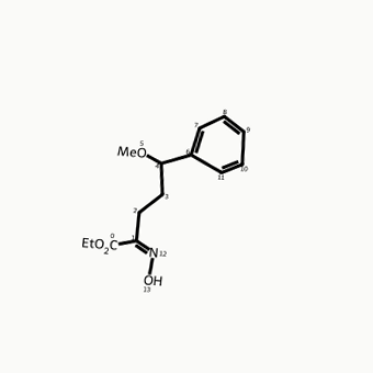 CCOC(=O)C(CCC(OC)c1ccccc1)=NO